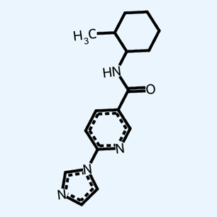 CC1CCCCC1NC(=O)c1ccc(-n2ccnc2)nc1